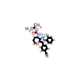 CC(C)OC(=O)NC1CCCOc2c1nn(-c1ccccc1Cl)c2-c1ccc(C#N)cc1